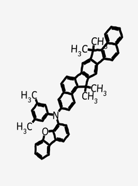 Cc1cc(C)cc(N(c2ccc3c4c(ccc3c2)-c2cc3c(cc2C4(C)C)-c2ccc4ccccc4c2C3(C)C)c2cccc3c2oc2ccccc23)c1